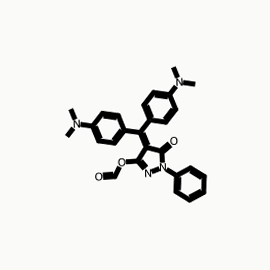 CN(C)c1ccc(C(=C2C(=O)N(c3ccccc3)N=C2OC=O)c2ccc(N(C)C)cc2)cc1